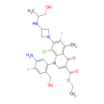 CCOC(=O)c1cn(-c2cc(N)c(F)cc2CO)c2c(Cl)c(N3CC(NC(C)CO)C3)c(F)c(C)c2c1=O